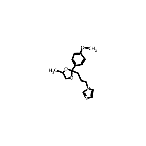 COc1ccc(C2(CCCn3ccnc3)OCC(C)O2)cc1